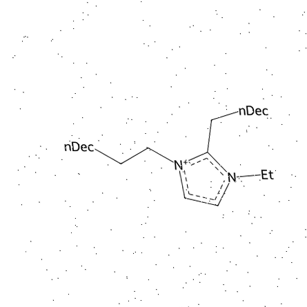 CCCCCCCCCCCC[n+]1ccn(CC)c1CCCCCCCCCCC